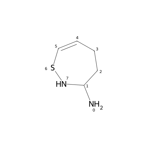 NC1CCC=CSN1